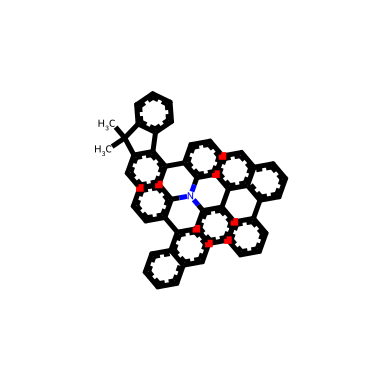 CC1(C)c2ccccc2-c2c(-c3ccccc3N(c3ccccc3-c3cccc4ccccc34)c3ccccc3-c3cccc4cccc(-c5ccccc5)c34)cccc21